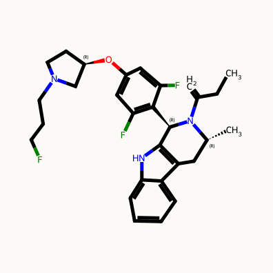 C=C(CC)N1[C@H](c2c(F)cc(O[C@@H]3CCN(CCCF)C3)cc2F)c2[nH]c3ccccc3c2C[C@H]1C